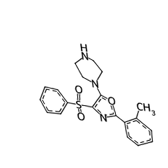 Cc1ccccc1-c1nc(S(=O)(=O)c2ccccc2)c(N2CCNCC2)o1